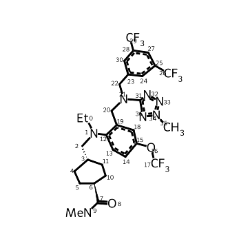 CCN(C[C@H]1CC[C@H](C(=O)NC)CC1)c1ccc(OC(F)(F)F)cc1CN(Cc1cc(C(F)(F)F)cc(C(F)(F)F)c1)c1nnn(C)n1